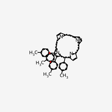 Cc1ccc(-c2c(-c3ccc(C)cc3)c3c(-c4ccc(C)cc4)c4nc(cc5ccc(cc6nc(cc2n3-c2ccc(C)cc2)C=C6)[nH]5)C=C4)cc1